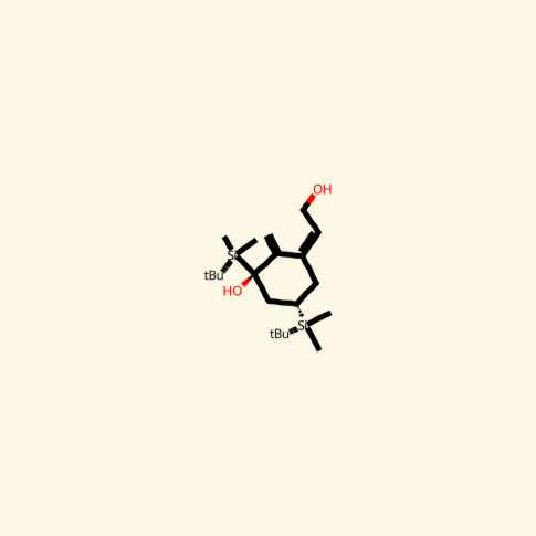 C=C1/C(=C\CO)C[C@H]([Si](C)(C)C(C)(C)C)C[C@]1(O)[Si](C)(C)C(C)(C)C